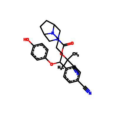 CC(C)(C#N)OC(=O)N1CC2CCC(C1)N2CCCC(Oc1ccc(O)cc1)c1ccc(C#N)cc1